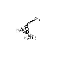 CCCCC/C=C/C1C2CC(OC(=O)C(C)(C)C)C(Cc3cccc(OC(=O)C(C)(C)C)c3)C12